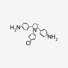 Nc1ccc(C2CCC(c3ccc(N)cc3)N2c2ccc(Cl)cc2)cc1